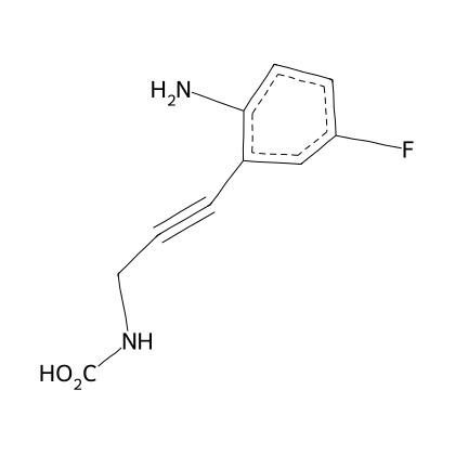 Nc1ccc(F)cc1C#CCNC(=O)O